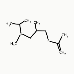 C=C(C)SCC(C)CN(C)C(C)C